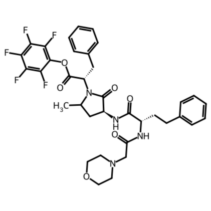 CC1C[C@H](NC(=O)[C@H](CCc2ccccc2)NC(=O)CN2CCOCC2)C(=O)N1[C@@H](Cc1ccccc1)C(=O)Oc1c(F)c(F)c(F)c(F)c1F